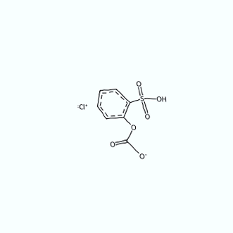 O=C([O-])Oc1ccccc1S(=O)(=O)O.[Cl+]